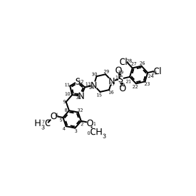 COc1ccc(OC)c(Cc2csc(N3CCN(S(=O)(=O)c4ccc(Cl)cc4Cl)CC3)n2)c1